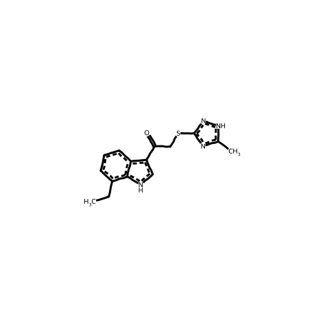 CCc1cccc2c(C(=O)CSc3n[nH]c(C)n3)c[nH]c12